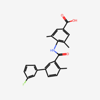 Cc1ccc(-c2cccc(F)c2)cc1C(=O)Nc1c(C)cc(C(=O)O)cc1C